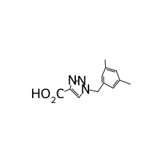 Cc1cc(C)cc(Cn2cc(C(=O)O)nn2)c1